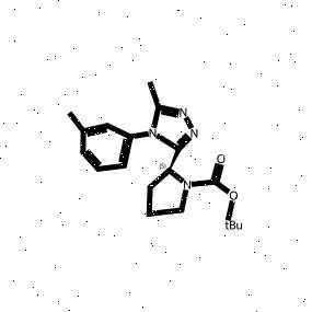 Cc1cccc(-n2c(C)nnc2[C@@H]2CCCN2C(=O)OC(C)(C)C)c1